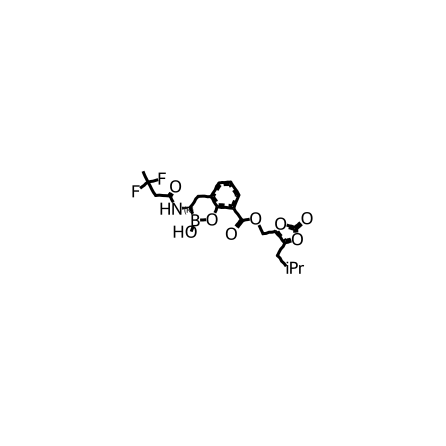 CC(C)Cc1oc(=O)oc1COC(=O)c1cccc2c1OB(O)[C@@H](NC(=O)CC(C)(F)F)C2